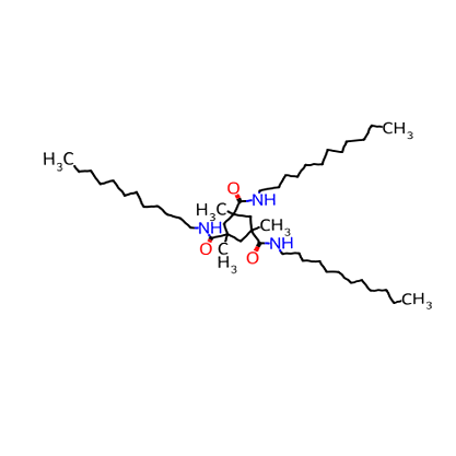 CCCCCCCCCCCCNC(=O)C1(C)CC(C)(C(=O)NCCCCCCCCCCCC)CC(C)(C(=O)NCCCCCCCCCCCC)C1